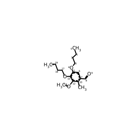 CCCCOc1cc(C=O)c(C)c(OC)c1OCCCC